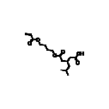 C=CC(=O)OCCCCOC(=O)CC(CC(=O)O)CC(C)C